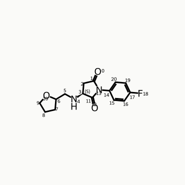 O=C1C[C@H](NCC2CCCO2)C(=O)N1c1ccc(F)cc1